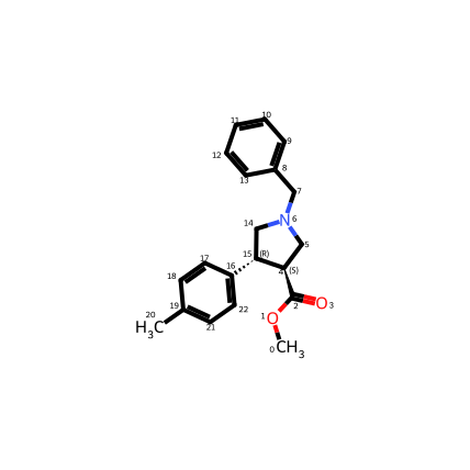 COC(=O)[C@@H]1CN(Cc2ccccc2)C[C@H]1c1ccc(C)cc1